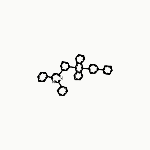 c1ccc(-c2ccc(-c3c4ccccc4c(-c4cccc(-c5cc(-c6ccccc6)nc(-c6ccccc6)n5)c4)c4ccccc34)cc2)cc1